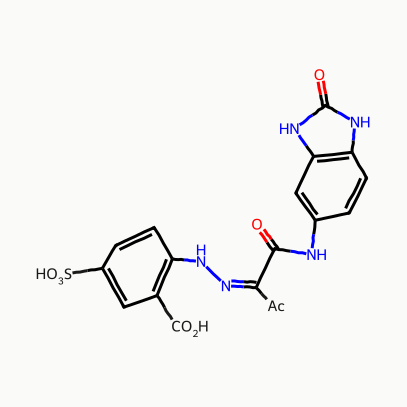 CC(=O)/C(=N/Nc1ccc(S(=O)(=O)O)cc1C(=O)O)C(=O)Nc1ccc2[nH]c(=O)[nH]c2c1